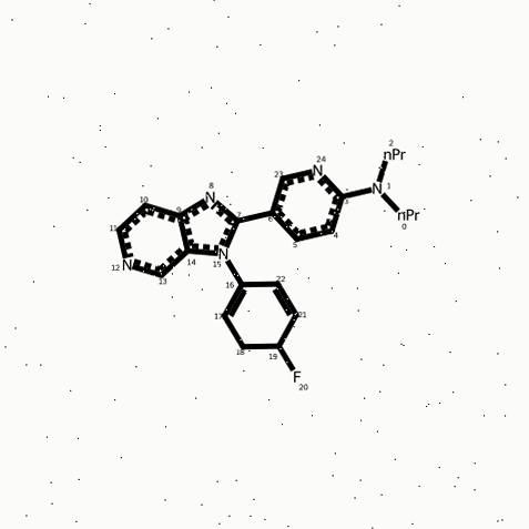 CCCN(CCC)c1ccc(-c2nc3ccncc3n2C2=CCC(F)C=C2)cn1